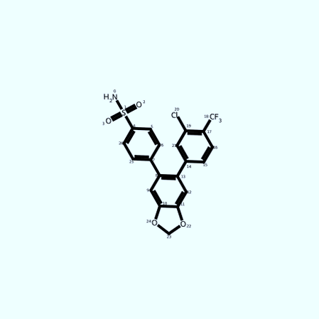 NS(=O)(=O)c1ccc(-c2cc3c(cc2-c2ccc(C(F)(F)F)c(Cl)c2)OCO3)cc1